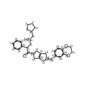 O=C(C(CNCC1CCCC1)c1ccccc1)N1CC2=C(CN(Sc3ccc4c(c3)OCCO4)C2)C1